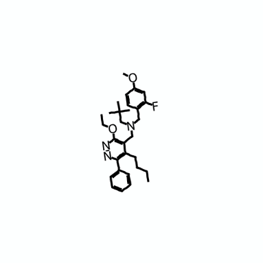 CCCCc1c(-c2ccccc2)nnc(OCC)c1CN(Cc1ccc(OC)cc1F)CC(C)(C)C